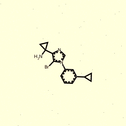 NC1(c2ncn(-c3cccc(C4CC4)c3)c2Br)CC1